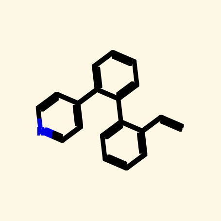 C=Cc1ccccc1-c1ccccc1-c1ccncc1